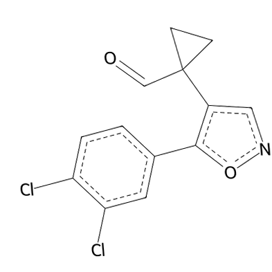 O=CC1(c2cnoc2-c2ccc(Cl)c(Cl)c2)CC1